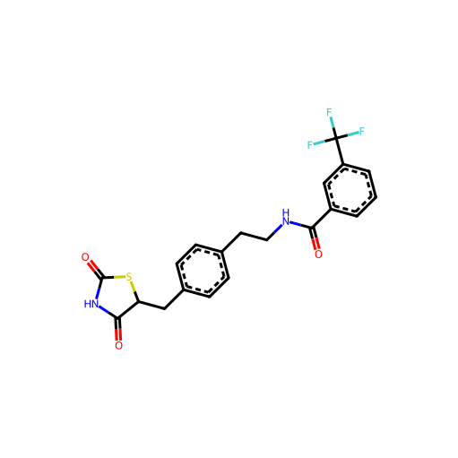 O=C1NC(=O)C(Cc2ccc(CCNC(=O)c3cccc(C(F)(F)F)c3)cc2)S1